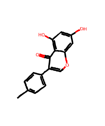 Cc1ccc(-c2coc3cc(O)cc(O)c3c2=O)cc1